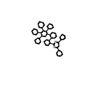 c1ccc(-c2cc(-c3ccccc3)nc(-c3ccccc3-c3ccccc3-c3cc(-c4ccccc4)c(-c4ccccc4)c(-c4ccccc4)c3-c3ccccc3)n2)cc1